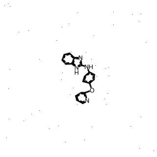 c1ccc(Oc2ccc(Nc3nc4ccccc4[nH]3)cc2)nc1